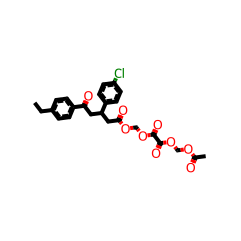 CCc1ccc(C(=O)CC(CC(=O)OCOC(=O)C(=O)OCOC(C)=O)c2ccc(Cl)cc2)cc1